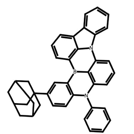 c1ccc(N2c3ccc(C45CC6CC(CC(C6)C4)C5)cc3B3c4c2cccc4-n2c4ccccc4c4cccc3c42)cc1